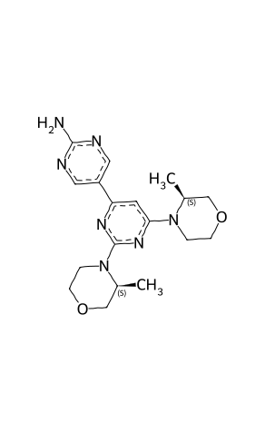 C[C@H]1COCCN1c1cc(-c2cnc(N)nc2)nc(N2CCOC[C@@H]2C)n1